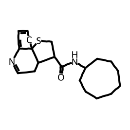 O=C(NC1CCCCCCCC1)C1CSC23CC=CC=C2N=CCC13